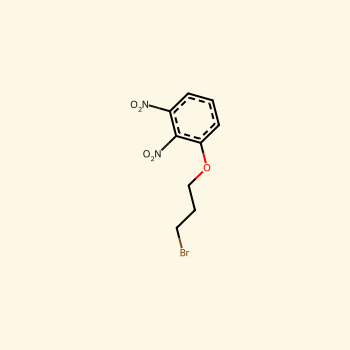 O=[N+]([O-])c1cccc(OCCCBr)c1[N+](=O)[O-]